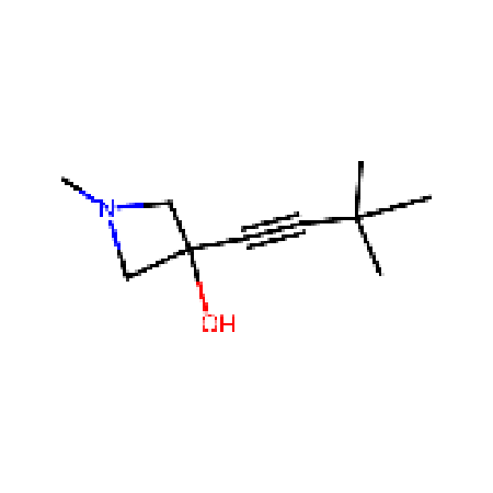 CN1CC(O)(C#CC(C)(C)C)C1